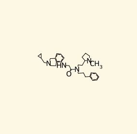 CN1CCCC1CCN(CCCc1ccccc1)C(=O)CNc1cccc2c1CCN(CC1CC1)C2